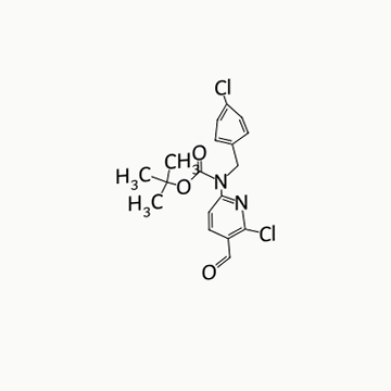 CC(C)(C)OC(=O)N(Cc1ccc(Cl)cc1)c1ccc(C=O)c(Cl)n1